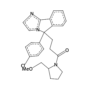 COCC1CCCN1C(=O)CCC1(c2ccc(Cl)cc2)c2ccccc2-c2nccn21